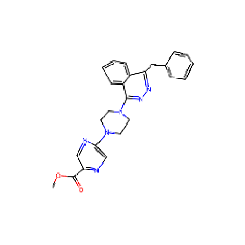 COC(=O)c1cnc(N2CCN(c3nnc(Cc4ccccc4)c4ccccc34)CC2)cn1